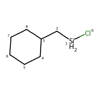 Cl[SiH2]CC1CCCCC1